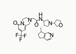 O=C(CN1CCn2c(cc(C(F)(F)F)cc2=O)C1)NC1CN(C2CCOC2)C[C@@H]1CC1CCc2ccncc21